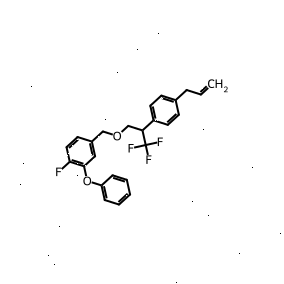 C=CCc1ccc(C(COCc2ccc(F)c(Oc3ccccc3)c2)C(F)(F)F)cc1